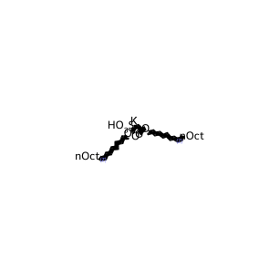 CCCCCCCC/C=C\CCCCCCCCOC(=O)CC(C(=O)OCCCCCCCC/C=C\CCCCCCCC)S(=O)(=O)O.[K]